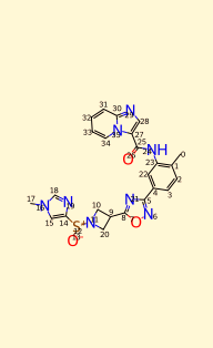 Cc1ccc(-c2noc(C3CN([S+]([O-])c4cn(C)cn4)C3)n2)cc1NC(=O)c1cnc2ccccn12